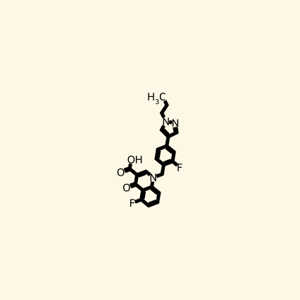 CCCn1cc(-c2ccc(Cn3cc(C(=O)O)c(=O)c4c(F)cccc43)c(F)c2)cn1